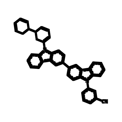 N#Cc1cccc(-n2c3ccccc3c3cc(-c4ccc5c(c4)c4ccccc4n5C4=CC=CC(C5C=CC=CC5)C4)ccc32)c1